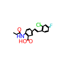 CCC(=O)Nc1ccc(C=Cc2ccc(F)cc2Cl)cc1C(=O)O